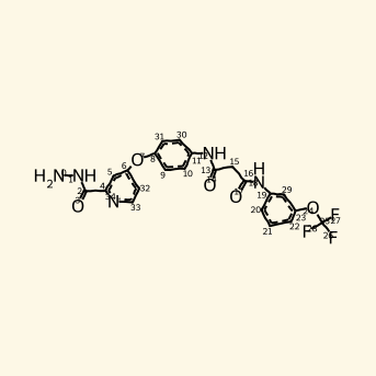 NNC(=O)c1cc(Oc2ccc(NC(=O)CC(=O)Nc3cccc(OC(F)(F)F)c3)cc2)ccn1